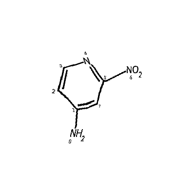 Nc1ccnc([N+](=O)[O-])c1